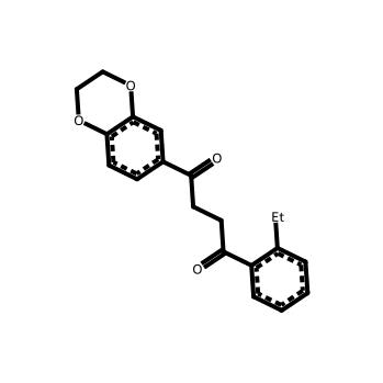 CCc1ccccc1C(=O)CCC(=O)c1ccc2c(c1)OCCO2